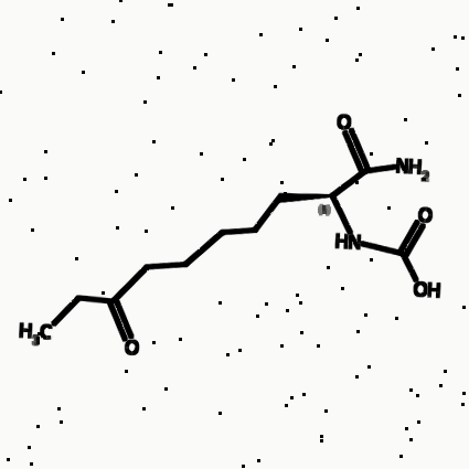 CCC(=O)CCCCC[C@H](NC(=O)O)C(N)=O